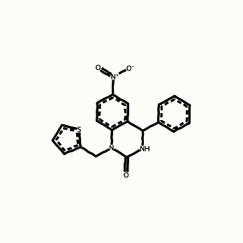 O=C1NC(c2ccccc2)c2cc([N+](=O)[O-])ccc2N1Cc1cccs1